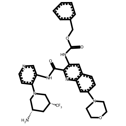 N[C@H]1C[C@@H](C(F)(F)F)CN(c2ccncc2NC(=O)c2nc3cc(N4CCOCC4)ccc3cc2NC(=O)OCc2ccccc2)C1